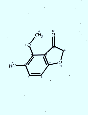 COc1c(O)ccc2c1C(=O)CO2